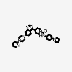 O=C(Nc1ccc(N2CCCC2)cc1)N1CCC(c2ncnc3cc(N4CCN(c5ccccn5)CC4)ccc23)CC1